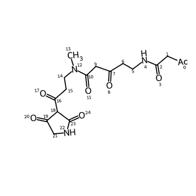 CC(=O)CC(=O)NCCC(=O)CC(=O)N(C)CCC(=O)C1C(=O)CNC1=O